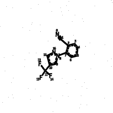 N#Cc1ccccc1-n1cc(C(F)(F)F)cn1